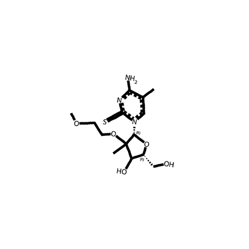 COCCOC1(C)C(O)[C@@H](CO)O[C@H]1n1cc(C)c(N)nc1=S